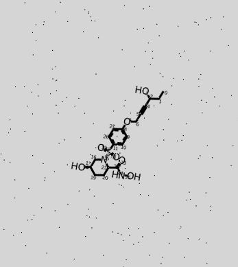 CCC(O)C#CCOc1ccc(S(=O)(=O)N2CC(O)CCC2C(=O)NO)cc1